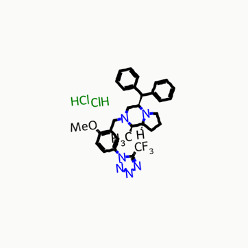 COc1ccc(-n2nnnc2C(F)(F)F)cc1CN1C[C@@H](C(c2ccccc2)c2ccccc2)N2CCC[C@H]2[C@H]1C.Cl.Cl